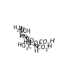 Nc1nc(O)c2c(CNc3ccc(C(=O)N[C@@H](CCC(=O)N[C@@H](CCC(=O)O)C(=O)O)C(=O)O)s3)csc2n1